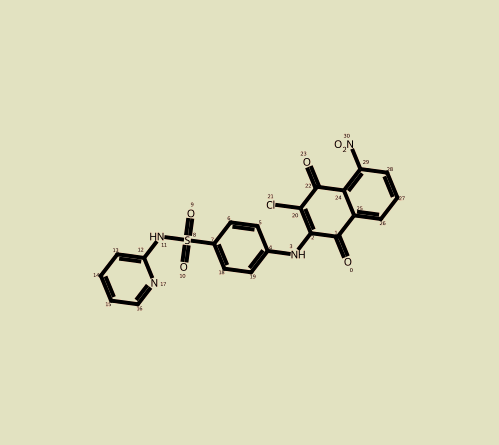 O=C1C(Nc2ccc(S(=O)(=O)Nc3ccccn3)cc2)=C(Cl)C(=O)c2c1cccc2[N+](=O)[O-]